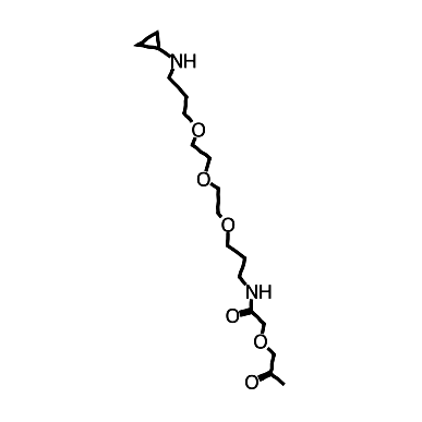 CC(=O)COCC(=O)NCCCOCCOCCOCCCNC1CC1